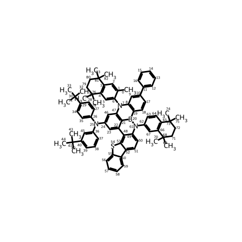 Cc1cc2c(cc1N1c3cc(-c4ccccc4)ccc3B3c4c(cc(N(c5ccc(C(C)(C)C)cc5)c5cccc(C(C)(C)C)c5)cc41)-c1c(ccc4c1sc1ccccc14)N3c1ccc3c(c1)C(C)(C)CCC3(C)C)C(C)(C)CCC2(C)C